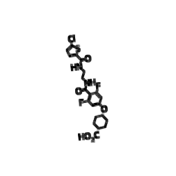 O=C(NCCNC(=O)c1c(F)cc(O[C@H]2CC[C@@H](C(=O)O)CC2)cc1F)c1ccc(Cl)s1